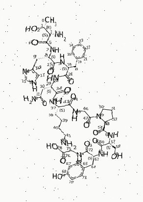 C[C@@H](O)[C@H](N)C(=O)N[C@@H](Cc1c[nH]cn1)C(=O)N[C@@H](Cc1ccccc1)C(=O)N[C@@H](CC(N)=O)C(=O)N[C@@H](CCCCN)C(=O)NCC(=O)N1CCC[C@H]1C(=O)N[C@@H](CO)C(=O)N[C@@H](Cc1ccc(O)cc1)C(=O)NCC(=O)O